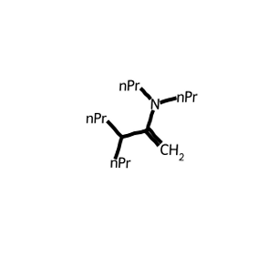 C=C(C(CCC)CCC)N(CCC)CCC